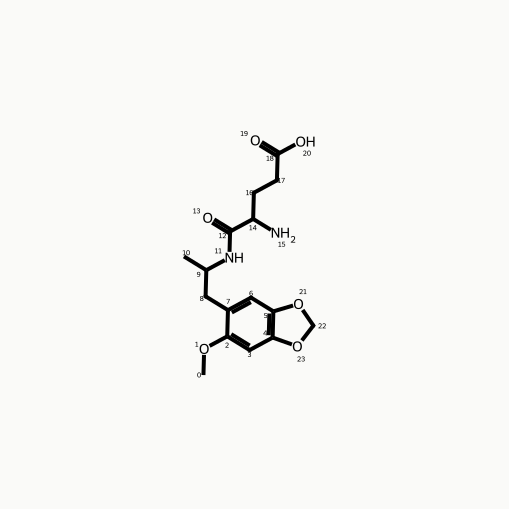 COc1cc2c(cc1CC(C)NC(=O)C(N)CCC(=O)O)OCO2